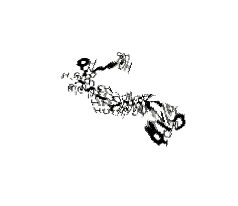 CC(C)C[C@H](NC(=O)[C@H](CC(C)C)N(C)C(=O)[C@H](C)NC(=O)[C@H](C)N(C)C(=O)[C@@H](NC(=O)CN(C)C(=O)[C@H](C(C)C)N(C)C(=O)[C@H](CC(C)C)N(C)C(=O)[C@H](Cc1ccccc1)NC(=O)CCC=CB(O)O)[C@@H](C)O)C(=O)N[C@@H](Cc1cccc(I)c1)C(=O)N1CCCCC1